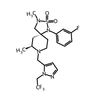 C[C@H]1C[C@]2(CCN1Cc1ccnn1CC(F)(F)F)CN(C)S(=O)(=O)N2c1cccc(F)c1